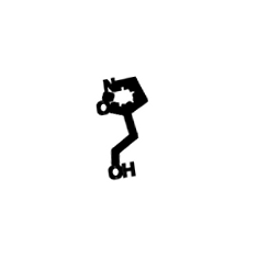 OCCc1ccno1